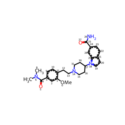 COc1cc(C(=O)N(C)C)ccc1CCN1CCC(n2ccc3ccc(C(N)=O)cc32)CC1